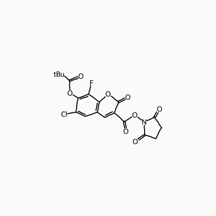 CC(C)(C)C(=O)Oc1c(Cl)cc2cc(C(=O)ON3C(=O)CCC3=O)c(=O)oc2c1F